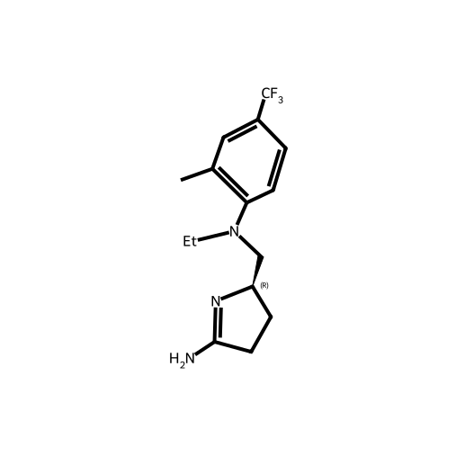 CCN(C[C@H]1CCC(N)=N1)c1ccc(C(F)(F)F)cc1C